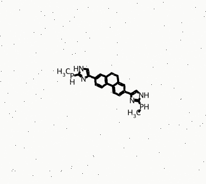 CPc1nc(-c2ccc3c(c2)CCc2cc(-c4c[nH]c(PC)n4)ccc2-3)c[nH]1